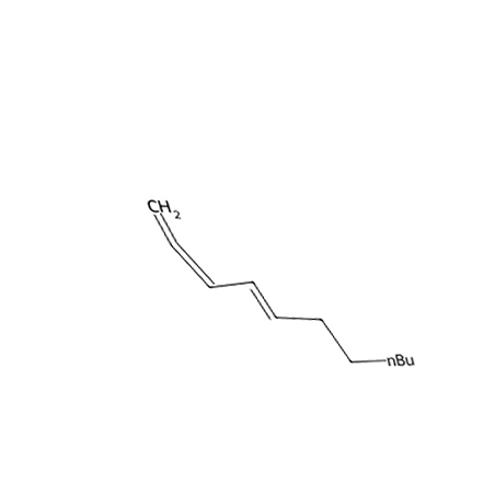 C=C=CC=CCCCCCC